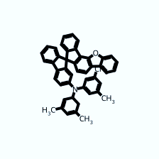 CC1=CC(N(c2cc(C)cc(C)c2)c2ccc3c(c2)C2(c4ccccc4-3)c3ccccc3-c3c2ccc2c3oc3ccccc32)CC(C)=C1